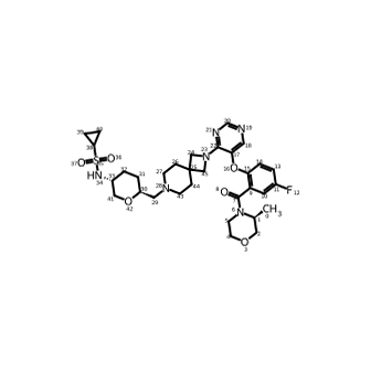 C[C@H]1COCCN1C(=O)c1cc(F)ccc1Oc1cncnc1N1CC2(CCN(C[C@@H]3CC[C@@H](NS(=O)(=O)C4CC4)CO3)CC2)C1